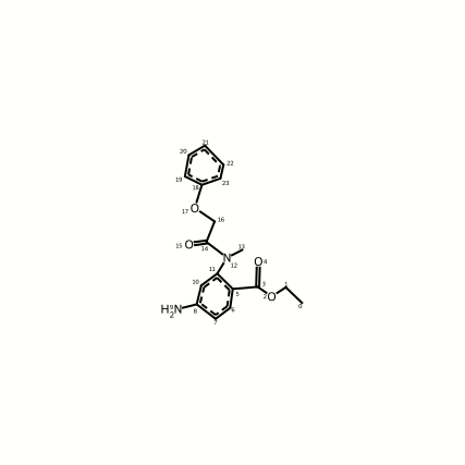 CCOC(=O)c1ccc(N)cc1N(C)C(=O)COc1ccccc1